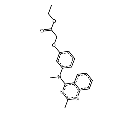 CCOC(=O)COc1cccc(N(C)c2nc(C)nc3ccccc23)c1